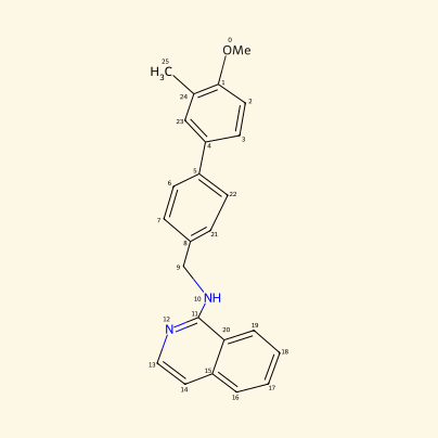 COc1ccc(-c2ccc(CNc3nccc4ccccc34)cc2)cc1C